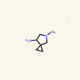 CC(C)(C)N1CC(N)C2(CC2)C1